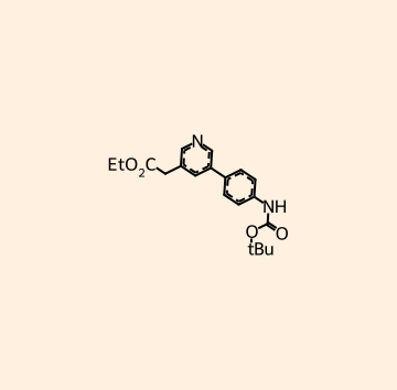 CCOC(=O)Cc1cncc(-c2ccc(NC(=O)OC(C)(C)C)cc2)c1